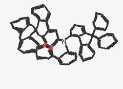 c1ccc(-c2ccccc2N(c2ccc3c(c2)-c2ccccc2C32c3ccccc3-c3ccccc32)c2cccc3c2-c2ccccc2C3(c2ccccc2)c2ccccc2)cc1